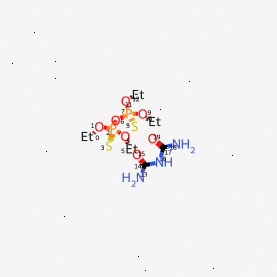 CCOP(=S)(OCC)OP(=S)(OCC)OCC.NC(=O)NC(N)=O